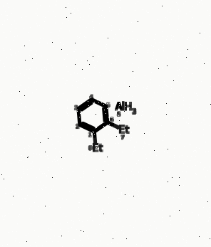 CCc1ccccc1CC.[AlH3]